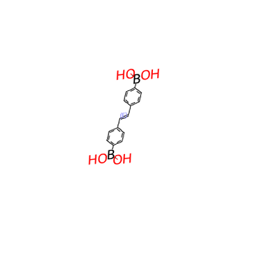 OB(O)c1ccc(/C=C/c2ccc(B(O)O)cc2)cc1